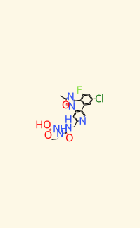 CCN(NC(=O)O)C(=O)NCc1ccc(-c2cc(Cl)cc(F)c2-c2noc(C)n2)cn1